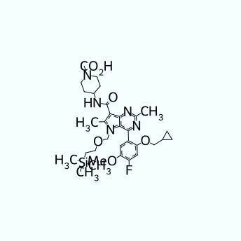 COc1cc(-c2nc(C)nc3c(C(=O)NC4CCN(C(=O)O)CC4)c(C)n(COCC[Si](C)(C)C)c23)c(OCC2CC2)cc1F